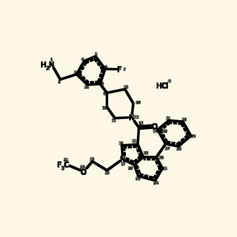 Cl.NCc1ccc(F)c(C2CCN(C(=O)c3cn(CCOC(F)(F)F)c4cccc(-c5ccccc5)c34)CC2)c1